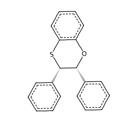 c1ccc([C@H]2Oc3ccccc3S[C@H]2c2ccccc2)cc1